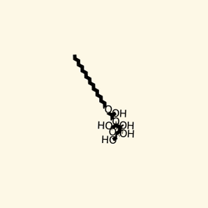 CCCCCCCCCCCCCCCCCCOCC(O)CO[C@@H]1[C@@H](O)[C@@H](O)[C@@H](CO)O[C@H]1O